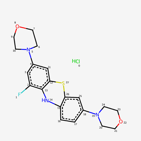 Cl.Fc1cc(N2CCOCC2)cc2c1Nc1ccc(N3CCOCC3)cc1S2